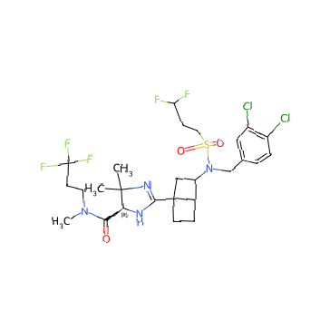 CN(CCC(F)(F)F)C(=O)[C@@H]1NC(C23CCC2C(N(Cc2ccc(Cl)c(Cl)c2)S(=O)(=O)CCC(F)F)C3)=NC1(C)C